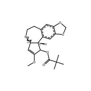 COC1=C[C@]23CCCN2CCc2cc4c(cc2[C@@H]3C1OC(=O)C(C)(C)C)OCO4